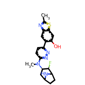 Cc1nc2cc(-c3ccc(N(C)[C@@H]4CC5CCC(N5)[C@@H]4F)nn3)c(O)cc2s1